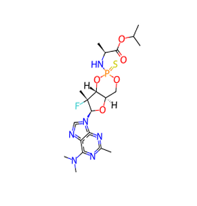 Cc1nc(N(C)C)c2ncn([C@@H]3O[C@@H]4COP(=S)(N[C@@H](C)C(=O)OC(C)C)O[C@H]4[C@@]3(C)F)c2n1